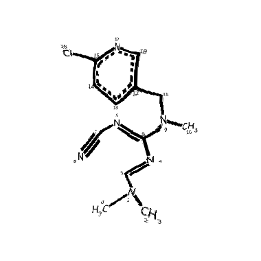 CN(C)C=NC(=NC#N)N(C)Cc1ccc(Cl)nc1